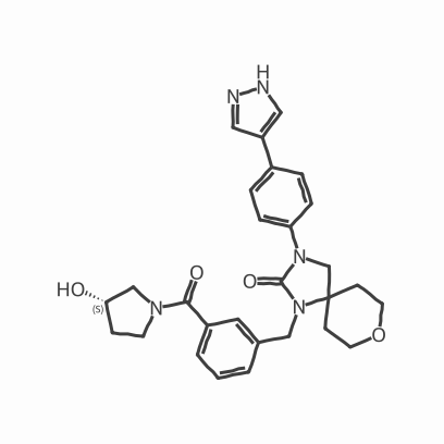 O=C(c1cccc(CN2C(=O)N(c3ccc(-c4cn[nH]c4)cc3)CC23CCOCC3)c1)N1CC[C@H](O)C1